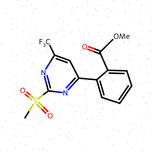 COC(=O)c1ccccc1-c1cc(C(F)(F)F)nc(S(C)(=O)=O)n1